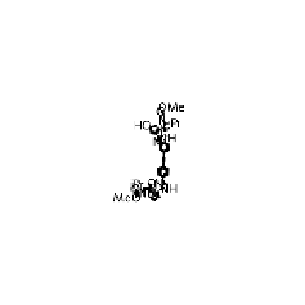 COO/C=N/[C@H](C(=O)N1C[C@H](O)C[C@H]1c1nc2cc(C#Cc3ccc(-c4c[nH]c([C@@H]5CCCN5C(=O)[C@@H](NC(=O)OC)C(C)C)n4)cc3)ccc2[nH]1)C(C)C